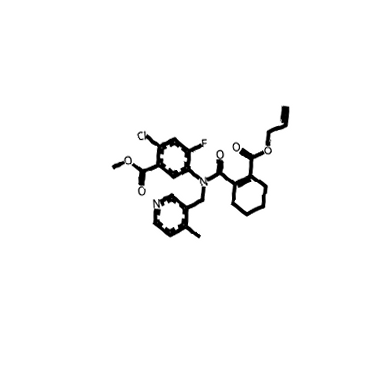 C=CCOC(=O)C1=C(C(=O)N(Cc2cnccc2C)c2cc(C(=O)OC)c(Cl)cc2F)CCCC1